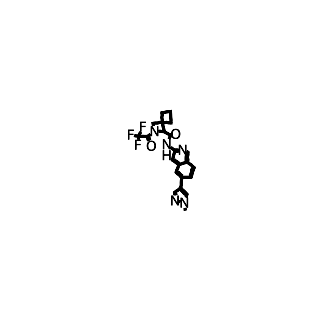 Cn1cc(-c2ccc3cnc(NC(=O)C4N(C(=O)C(F)(F)F)CC45CCC5)cc3c2)cn1